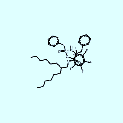 CCCCCCC(CCCCCC)COC(=O)[C@H](Cc1ccccc1)N[P@](=O)(Oc1ccccc1)Oc1c(F)c(F)c(F)c(F)c1F